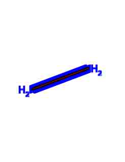 N/N=N/N=N/N=N/N=N/N=N/N=N/N=N/N=N/N=N/N=N/N=N/N=N/N=N/N=N/N=N/N=N/N=N/N=N/N=N/N=N/N=N/N=N/N=N/N=N/N=N/N=N/N=N/N=N/N=N/N=N/N=N/N=N/N=N/N=N/N=N/N=N/N=N/N=N/N=N/N=N/N=N/N=N/N=N/N=N/N=N/N=N/N=N/N=N/N=N/N=N/N=N/N=N/N=N/N=N/N=N/N=N/N=N/N=N/N=N/N=N/N=N/N=N/N=N/N=N/N=N/N=N/N=N/N=N/N=N/N=N/N=N/N